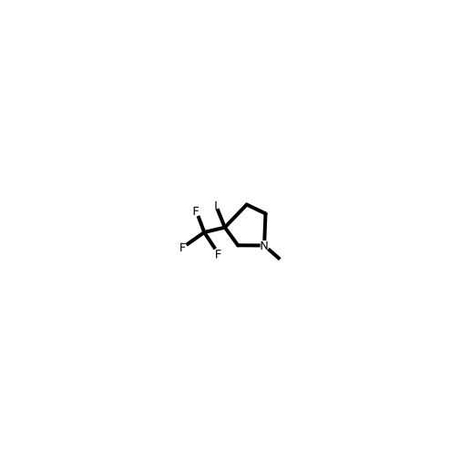 CN1CCC(I)(C(F)(F)F)C1